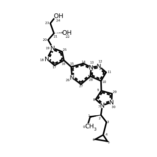 CC[C@H](CC1CC1)n1cc(-c2cnn3cc(-c4cnn(C[C@@H](O)CO)c4)ncc23)cn1